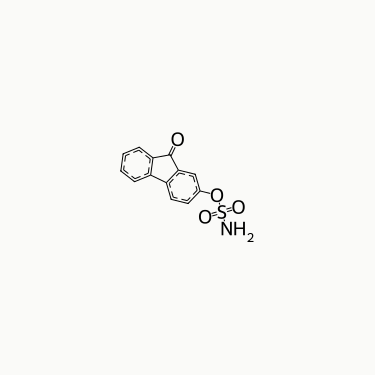 NS(=O)(=O)Oc1ccc2c(c1)C(=O)c1ccccc1-2